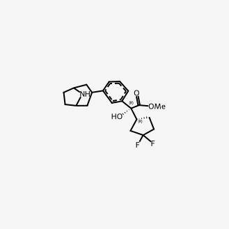 COC(=O)[C@](O)(c1cccc(C2CC3CCC(C2)N3)c1)[C@@H]1CCC(F)(F)C1